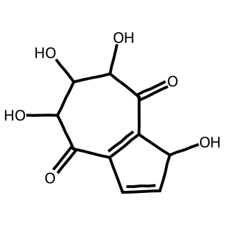 O=C1C2=C(C(=O)C(O)C(O)C1O)C(O)C=C2